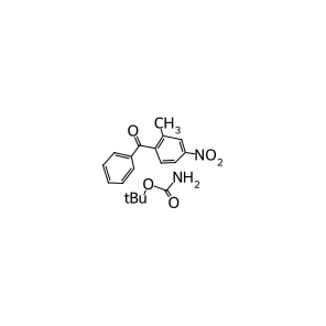 CC(C)(C)OC(N)=O.Cc1cc([N+](=O)[O-])ccc1C(=O)c1ccccc1